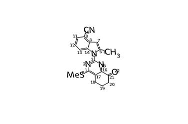 CSc1nc(-n2c(C)cc3c(C#N)cccc32)nc2c1CCCC2=O